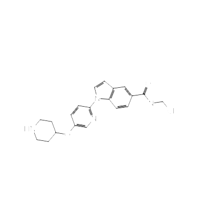 O=C(NCC(F)(F)F)c1ccc2c(ccn2-c2ccc(OC3CCNCC3)cn2)c1